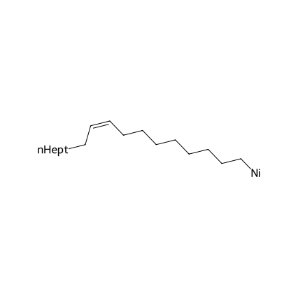 CCCCCCCC/C=C\CCCCCCC[CH2][Ni]